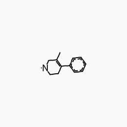 CC1=C(c2ccccc2)CC[N]C1